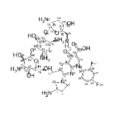 NC1CCN(c2nc3c(cc2F)c(=O)c(C(=O)O)cn3-c2ccc(F)cc2F)C1.NC[C@H]1O[C@H](O[C@H]2[C@H](O)[C@@H](O[C@H]3O[C@H](CO)[C@@H](O)[C@H](N)[C@H]3O)[C@H](N)C[C@@H]2N)[C@H](N)C[C@@H]1O